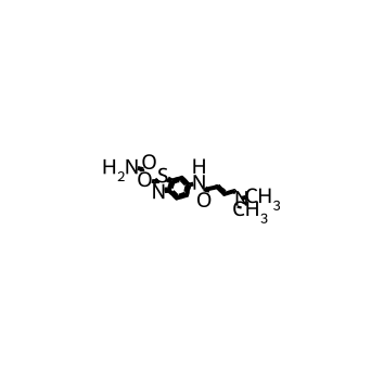 CN(C)CC=CC(=O)Nc1ccc2nc(OC(N)=O)sc2c1